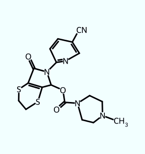 CN1CCN(C(=O)OC2C3=C(SCCS3)C(=O)N2c2ccc(C#N)cn2)CC1